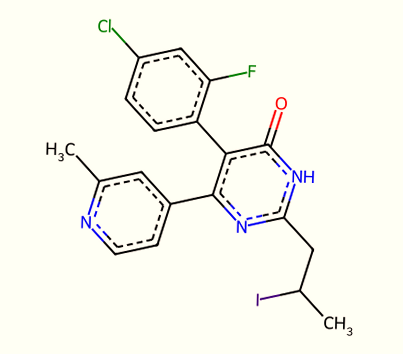 Cc1cc(-c2nc(CC(C)I)[nH]c(=O)c2-c2ccc(Cl)cc2F)ccn1